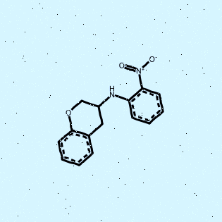 O=[N+]([O-])c1ccccc1NC1COc2ccccc2C1